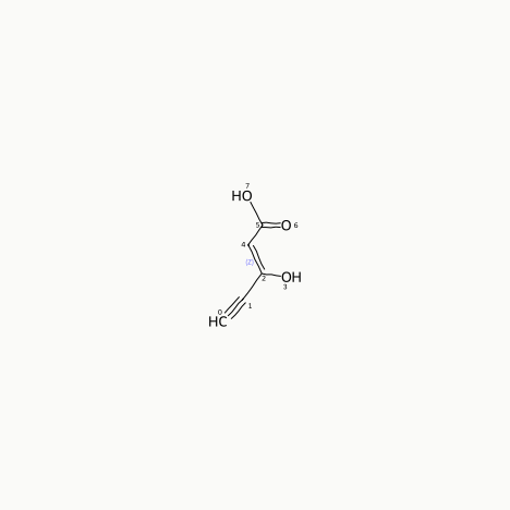 C#C/C(O)=C/C(=O)O